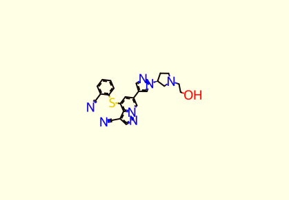 N#Cc1ccccc1Sc1cc(-c2cnn([C@H]3CCN(CCO)C3)c2)cn2ncc(C#N)c12